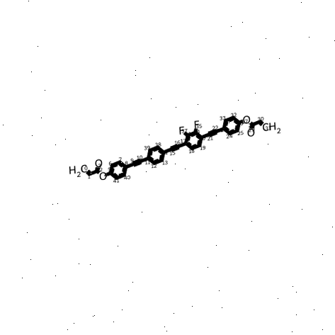 C=CC(=O)Oc1ccc(C#Cc2ccc(C#Cc3ccc(C#Cc4ccc(OC(=O)C=C)cc4)c(F)c3F)cc2)cc1